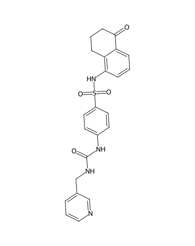 O=C(NCc1cccnc1)Nc1ccc(S(=O)(=O)Nc2cccc3c2CCCC3=O)cc1